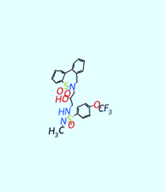 CN=S(=O)(NCC(O)CN1Cc2ccccc2-c2ccccc2S1(=O)=O)c1ccc(OC(F)(F)F)cc1